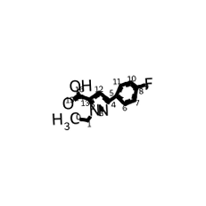 CCn1nc(-c2ccc(F)cc2)cc1C(=O)O